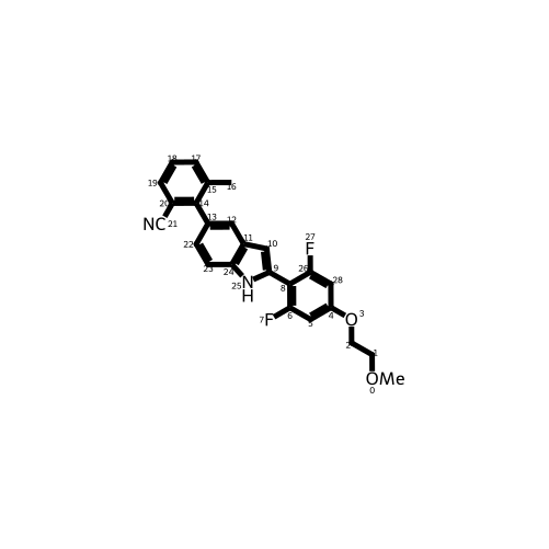 COCCOc1cc(F)c(-c2cc3cc(-c4c(C)cccc4C#N)ccc3[nH]2)c(F)c1